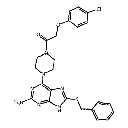 Nc1nc(N2CCN(C(=O)COc3ccc(Cl)cc3)CC2)c2nc(SCc3ccccc3)[nH]c2n1